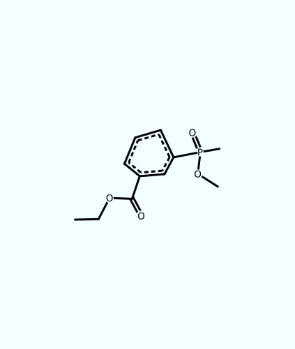 CCOC(=O)c1cccc(P(C)(=O)OC)c1